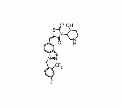 O=C1SC(=Cc2ccc3c(cnn3Cc3ccc(Cl)cc3C(F)(F)F)c2)C(=O)N1C1CNCCC1O